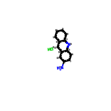 Cl.Nc1ccc2nc3ccccc3cc2c1